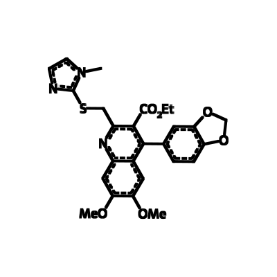 CCOC(=O)c1c(CSc2nccn2C)nc2cc(OC)c(OC)cc2c1-c1ccc2c(c1)OCO2